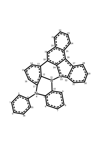 c1ccc(N2c3ccccc3B3c4c(cccc42)-c2cc4ccccc4c4c5ccccc5n3c24)cc1